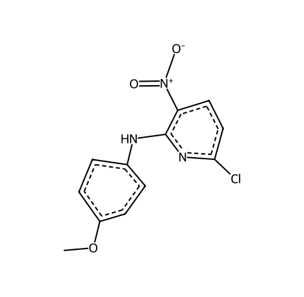 COc1ccc(Nc2nc(Cl)ccc2[N+](=O)[O-])cc1